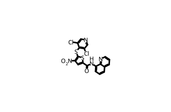 O=C(Nc1cccc2cccnc12)c1cc([N+](=O)[O-])c(Sc2c(Cl)cncc2Cl)s1